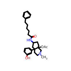 CC(=O)OC12CCC(NC(=O)CCCCCc3ccccc3)CC1(c1cccc(O)c1)CCN(C)C2